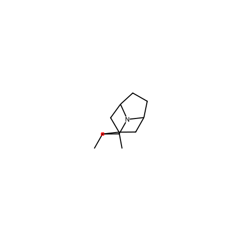 CCCN1C2CCC1CC(C)(C)C2